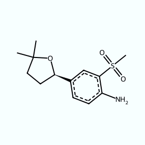 CC1(C)CC[C@H](c2ccc(N)c(S(C)(=O)=O)c2)O1